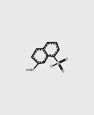 CC(=O)Nc1ccc2cccc(S(=O)(=O)Cl)c2c1